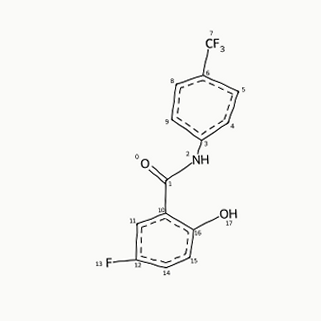 O=C(Nc1ccc(C(F)(F)F)cc1)c1cc(F)ccc1O